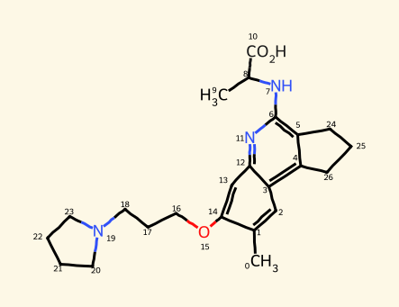 Cc1cc2c3c(c(NC(C)C(=O)O)nc2cc1OCCCN1CCCC1)CCC3